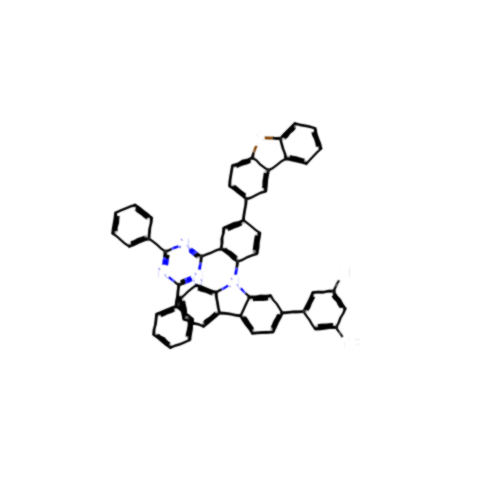 FC(F)(F)c1cc(-c2ccc3c4ccccc4n(-c4ccc(-c5ccc6sc7ccccc7c6c5)cc4-c4nc(-c5ccccc5)nc(-c5ccccc5)n4)c3c2)cc(C(F)(F)F)c1